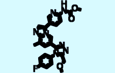 COCc1nnc(-c2cc(C)c3ncc(-c4ccc(NC(=O)OC)nc4)n3c2)n1-c1ccc(F)cc1